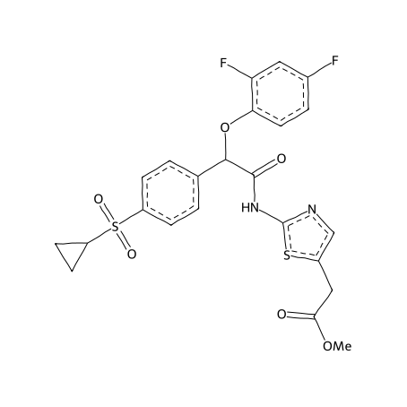 COC(=O)Cc1cnc(NC(=O)C(Oc2ccc(F)cc2F)c2ccc(S(=O)(=O)C3CC3)cc2)s1